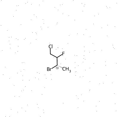 C[C@H](Br)C(F)CCl